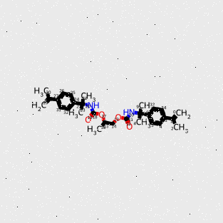 C=C(C)c1ccc(C(C)(C)NC(=O)OCC(C)OC(=O)NC(C)(C)c2ccc(C(=C)C)cc2)cc1